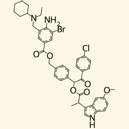 CCN(Cc1cc(C(=O)OCc2ccc(C(OC(=O)C(C)c3c[nH]c4ccc(OC)cc34)C(=O)c3ccc(Cl)cc3)cc2)cc(Br)c1N)C1CCCCC1